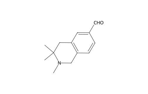 CN1Cc2ccc(C=O)cc2CC1(C)C